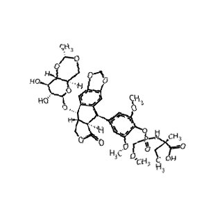 CC[C@](C)(NP(=O)(COC)Oc1c(OC)cc([C@@H]2c3cc4c(cc3[C@@H](O[C@@H]3O[C@@H]5CO[C@@H](C)O[C@H]5[C@H](O)[C@H]3O)[C@H]3COC(=O)[C@H]23)OCO4)cc1OC)C(=O)O